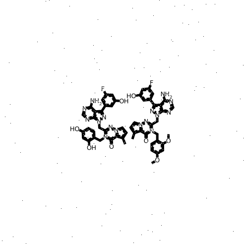 COc1ccc(Cn2c(Cn3nc(-c4cc(O)cc(F)c4)c4c(N)ncnc43)nn3ccc(C)c3c2=O)c(OC)c1.Cc1ccn2nc(Cn3nc(-c4cc(O)cc(F)c4)c4c(N)ncnc43)n(Cc3ccc(O)cc3O)c(=O)c12